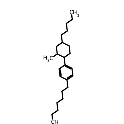 CCCCCCCc1ccc(C2CCC(CCCCC)CC2C)cc1